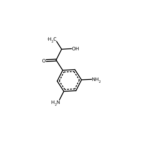 [CH2]C(O)C(=O)c1cc(N)cc(N)c1